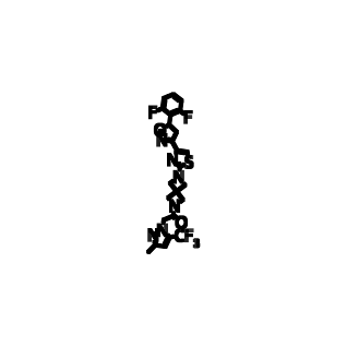 Cc1cc(C(F)(F)F)n(CC(=O)N2CC3(C2)CN(c2nc(C4=NOC(c5c(F)cccc5F)C4)cs2)C3)n1